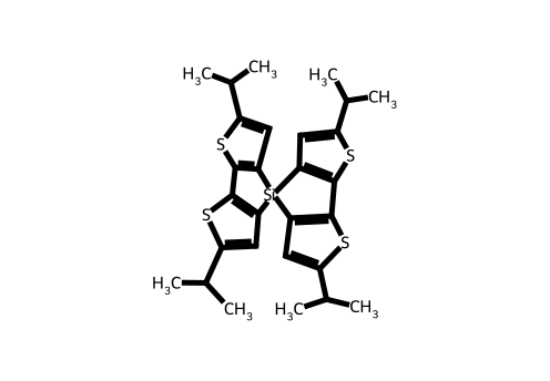 CC(C)c1cc2c(s1)-c1sc(C(C)C)cc1[Si]21c2cc(C(C)C)sc2-c2sc(C(C)C)cc21